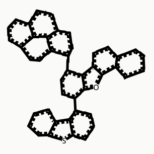 c1ccc2c(c1)ccc1c2oc2c(-c3cccc4sc5ccccc5c34)ccc(-c3ccc4ccc5cccc6ccc3c4c56)c21